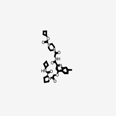 Cc1ccc2c(OCC(=O)N3CCC[C@H]3C(=O)NC3CCC3)cc(C(=O)NCC(=O)N3CCN(C(=O)OC4CCC4)CC3)nc2c1